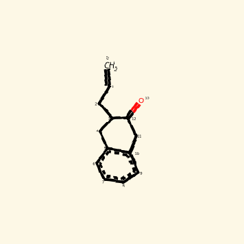 C=CCC1Cc2ccccc2CC1=O